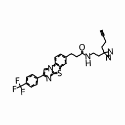 C#CCCC1(CCNC(=O)CCc2ccc3c(c2)sc2nc(-c4ccc(C(F)(F)F)cc4)cn23)N=N1